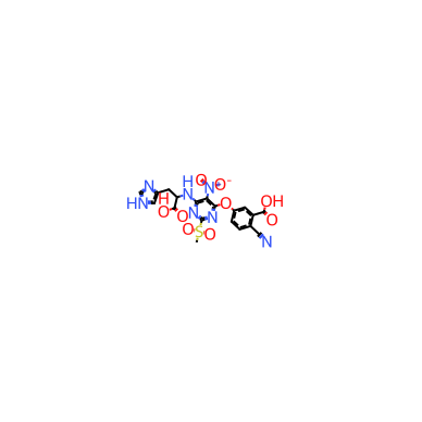 CS(=O)(=O)c1nc(NC(Cc2c[nH]cn2)C(=O)O)c([N+](=O)[O-])c(Oc2ccc(C#N)c(C(=O)O)c2)n1